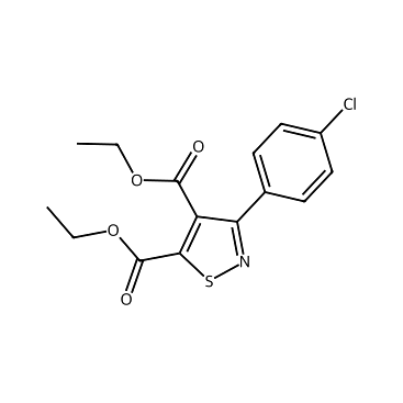 CCOC(=O)c1snc(-c2ccc(Cl)cc2)c1C(=O)OCC